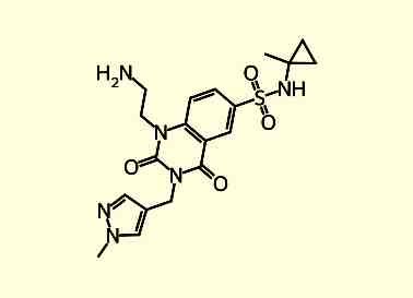 Cn1cc(Cn2c(=O)c3cc(S(=O)(=O)NC4(C)CC4)ccc3n(CCN)c2=O)cn1